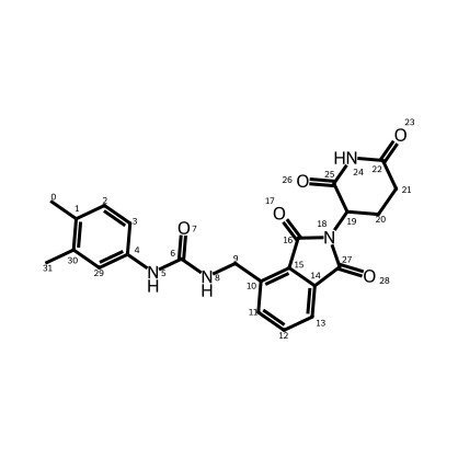 Cc1ccc(NC(=O)NCc2cccc3c2C(=O)N(C2CCC(=O)NC2=O)C3=O)cc1C